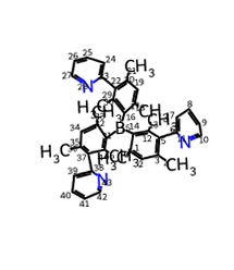 Cc1cc(C)c(-c2ccccn2)c(C)c1B(c1c(C)cc(C)c(-c2ccccn2)c1C)c1c(C)cc(C)c(-c2ccccn2)c1C